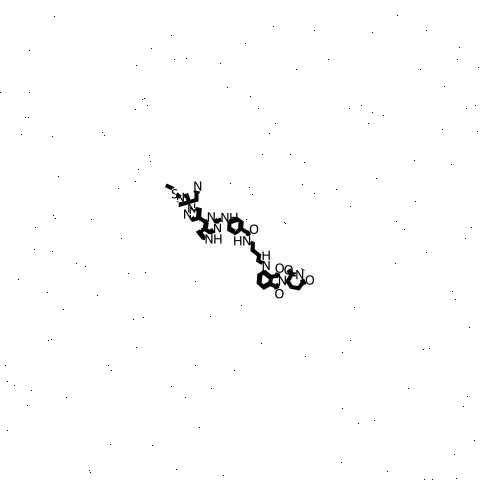 CCSN1CC(CC#N)(n2cc(-c3nc(Nc4ccc(C(=O)NCCCCNc5cccc6c5C(=O)N(C5CCC(=O)N(C)C5=O)C6=O)cc4)nc4[nH]ccc34)cn2)C1